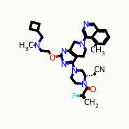 C=C(F)C(=O)N1CCN(c2nc(OCCN(C)CC3CCC3)nc3c2CCN(c2cncc4cccc(C)c24)C3)C[C@@H]1CC#N